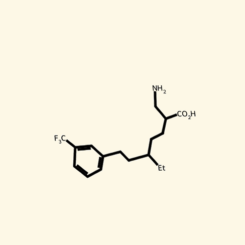 CCC(CCc1cccc(C(F)(F)F)c1)CCC(CN)C(=O)O